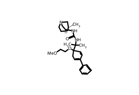 COCCOC1(C(C)(C)NC(=O)N[C@]2(C)CN3CCC2CC3)C=CC(c2ccccc2)=CC1